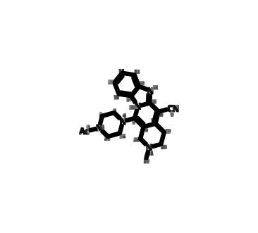 CC(=O)N1CCN(c2c3c(c(C#N)c4nc5ccccc5n24)CCN(C)C3)CC1